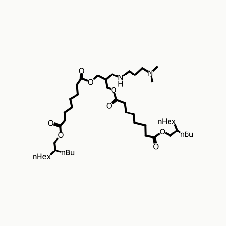 CCCCCCC(CCCC)COC(=O)CCCCCCC(=O)OCC(CNCCCN(C)C)COC(=O)CCCCCCC(=O)OCC(CCCC)CCCCCC